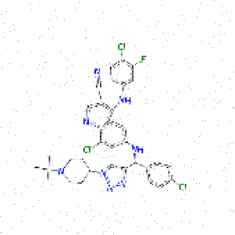 CC(C)(C)N1CCC(n2cc([C@@H](Nc3cc(Cl)c4ncc(C#N)c(Nc5ccc(Cl)c(F)c5)c4c3)c3ccc(Cl)cc3)nn2)CC1